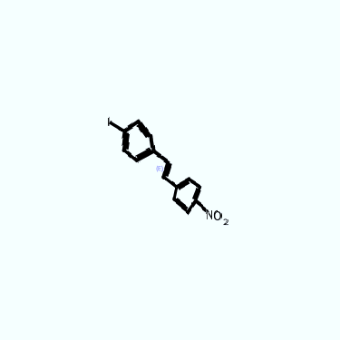 O=[N+]([O-])c1ccc(/C=C/c2ccc(I)cc2)cc1